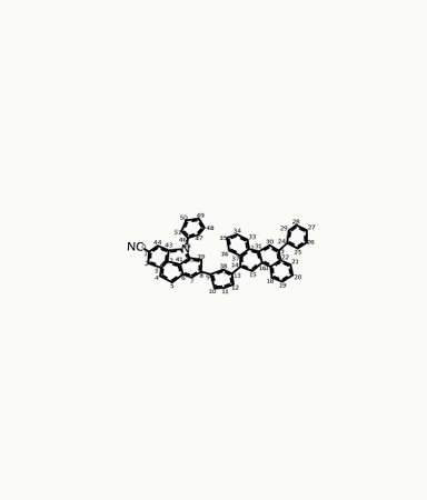 N#Cc1cc2ccc3cc(-c4cccc(-c5cc6c7ccccc7c(-c7ccccc7)cc6c6ccccc56)c4)cc4c3c2c(c1)n4-c1ccccc1